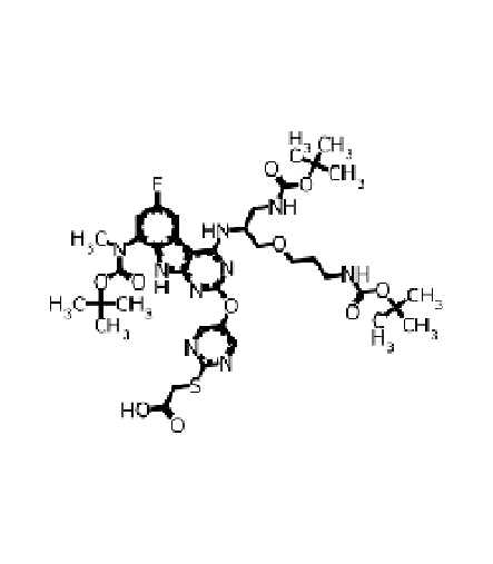 CN(C(=O)OC(C)(C)C)c1cc(F)cc2c1[nH]c1nc(Oc3cnc(SCC(=O)O)nc3)nc(NC(CNC(=O)OC(C)(C)C)COCCCNC(=O)OC(C)(C)C)c12